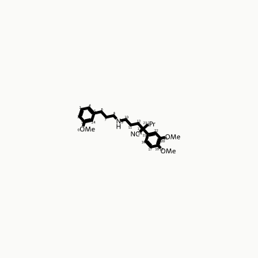 COc1cccc(CCCNCCCC(C#N)(c2ccc(OC)c(OC)c2)C(C)C)c1